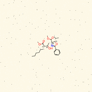 CCCCCC[C@H](C(=O)OC)[C@H](O)C[C@@]1(C(=O)OC)N=C(c2ccccc2)O[C@H]1C(C)C